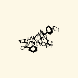 O=C(NC1CCC1)c1ccccc1-n1cnc(Cn2nc(-c3ccc(Cl)cc3)n(CC(O)C(F)(F)F)c2=O)n1